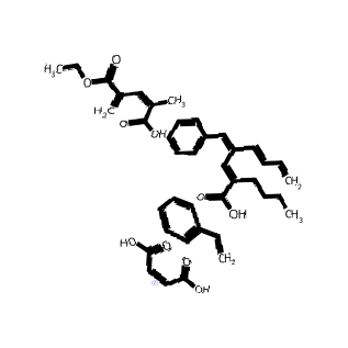 C=C(C=C(C)C(=O)O)C(=O)OCC.C=CC=CC(=Cc1ccccc1)C=C(CCCC)C(=O)O.C=Cc1ccccc1.O=C(O)/C=C\C(=O)O